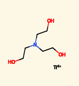 OCCN(CCO)CCO.[Ti+4]